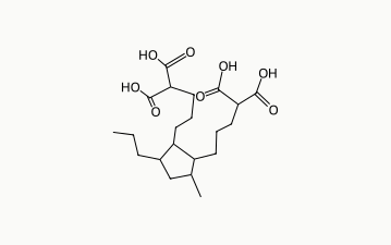 CCCC1CC(C)C(CCCC(C(=O)O)C(=O)O)C1CCCC(C(=O)O)C(=O)O